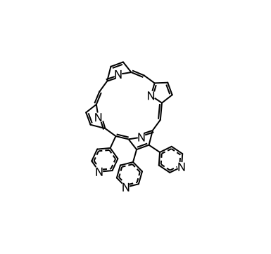 C1=CC2=NC1=CC1=NC(=C(c3ccncc3)C3=NC(=CC4=NC(=C2)C=C4)C=C3)C(c2ccncc2)=C1c1ccncc1